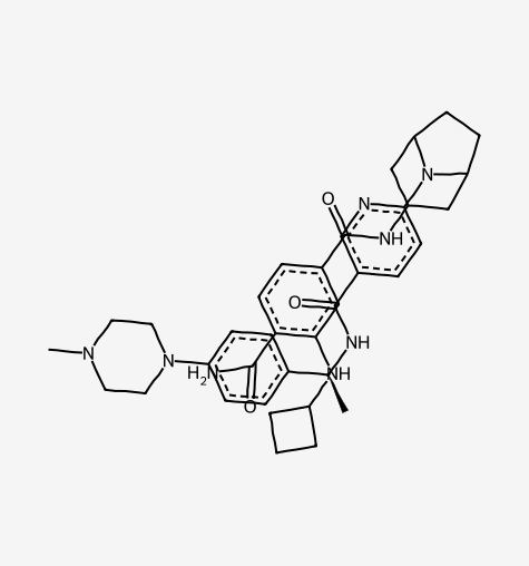 C[C@H](NC(=O)c1ccc(N2C3CCC2CC(NC(=O)c2ccc(C(N)=O)c(NC4CCC4)c2)C3)nc1)c1ccc(N2CCN(C)CC2)cc1